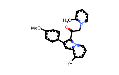 COc1ccc(-c2cc3c(C)cccn3c2C(=O)C[n+]2ccccc2C)cc1